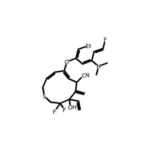 C=CC1(O)C(=C)C(C#N)/C=C(OC(=C/CC)/C=C(\C=C\F)N(C)C)/C=C\CSCC1(F)F